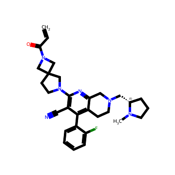 C=CC(=O)N1CC2(CCN(c3nc4c(c(-c5ccccc5F)c3C#N)CCN(C[C@@H]3CCCN3C)C4)C2)C1